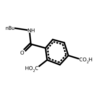 CCCCNC(=O)c1ccc(C(=O)O)cc1C(=O)O